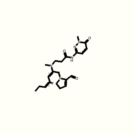 CC/C=C(F)\C=C(/CN1CCC=C1C=O)N(C)CCC(=O)Nc1ccc(=O)n(C)n1